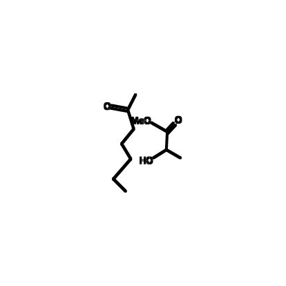 CCCCCC(C)=O.COC(=O)C(C)O